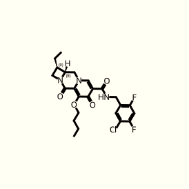 CCCCOc1c2n(cc(C(=O)NCc3cc(Cl)c(F)cc3F)c1=O)C[C@H]1[C@H](CC)CN1C2=O